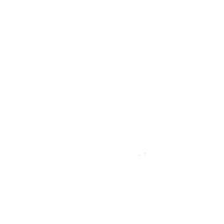 CCCOc1ccccc1/C=C/[C]=O